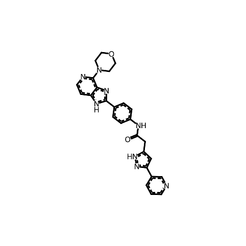 O=C(Cc1cc(-c2cccnc2)n[nH]1)Nc1ccc(-c2nc3c(N4CCOCC4)nccc3[nH]2)cc1